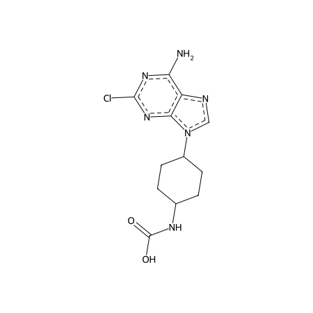 Nc1nc(Cl)nc2c1ncn2C1CCC(NC(=O)O)CC1